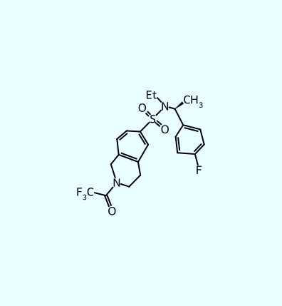 CCN([C@@H](C)c1ccc(F)cc1)S(=O)(=O)c1ccc2c(c1)CCN(C(=O)C(F)(F)F)C2